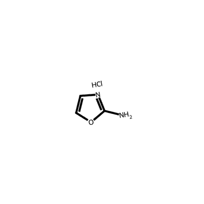 Cl.Nc1ncco1